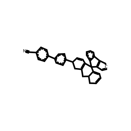 N#Cc1ccc(-c2ccc(C3C=CC4=C(CC5CC=CC=C5C45C4=C(CCC=C4)c4ccccc45)C3)cc2)cc1